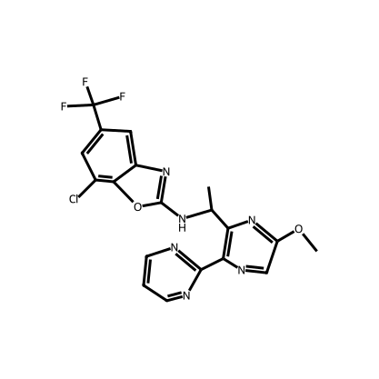 COc1cnc(-c2ncccn2)c(C(C)Nc2nc3cc(C(F)(F)F)cc(Cl)c3o2)n1